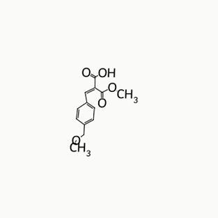 COCc1ccc(/C=C(/C(=O)O)C(=O)OC)cc1